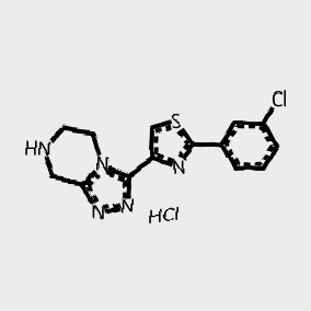 Cl.Clc1cccc(-c2nc(-c3nnc4n3CCNC4)cs2)c1